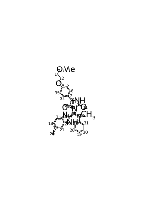 COCCOc1ccc([C@H]2NC(=O)N([C@H](c3nc4ccc(I)cc4[nH]3)[C@@H](C)c3ccccc3)C2=O)cc1